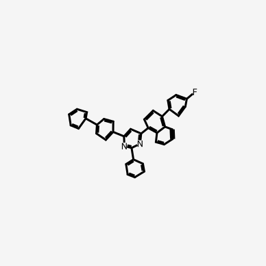 Fc1ccc(-c2ccc(-c3cc(-c4ccc(-c5ccccc5)cc4)nc(-c4ccccc4)n3)c3ccc#cc23)cc1